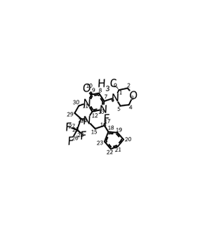 C[C@@H]1COCCN1c1cc(=O)n2c(n1)N(C[C@@H](F)c1ccccc1)C(C(F)(F)F)CC2